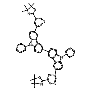 CC1(C)N=C(c2cncc(-c3ccc4c(c3)c3cc(-c5ccc6c(c5)c5cc(-c7cncc(C8=NC(C)(C)C(C)(C)S8)c7)ccc5n6-c5ccccc5)ccc3n4-c3ccccc3)c2)SC1(C)C